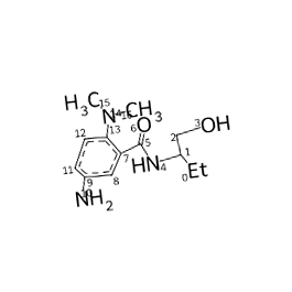 CCC(CO)NC(=O)c1cc(N)ccc1N(C)C